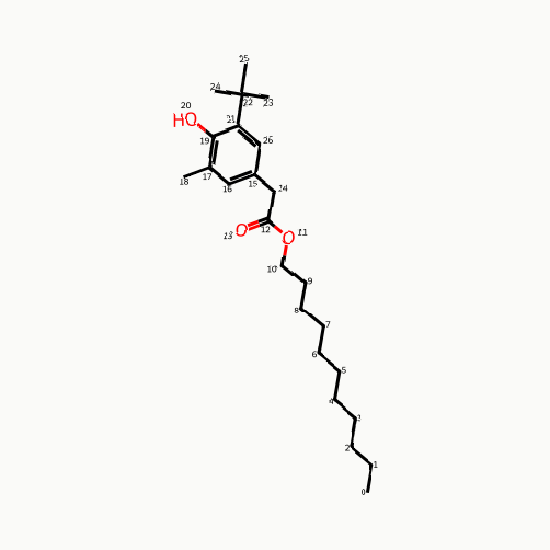 CCCCCCCCCCCOC(=O)Cc1cc(C)c(O)c(C(C)(C)C)c1